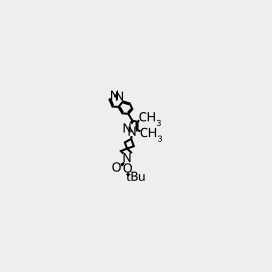 Cc1c(-c2ccc3nnccc3c2)nn(C2CC3(C2)CN(C(=O)OC(C)(C)C)C3)c1C